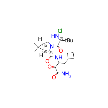 CC(C)(C)[C@H](NCl)C(=O)N1C[C@H]2[C@@H]([C@H]1C(=O)NC(CC1CCC1)C(=O)C(N)=O)C2(C)C